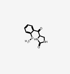 COc1ccccc1C(=O)C1CNC(=O)N1